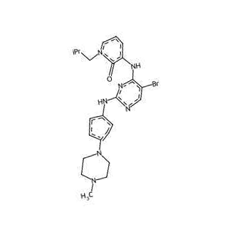 CC(C)Cn1cccc(Nc2nc(Nc3ccc(N4CCN(C)CC4)cc3)ncc2Br)c1=O